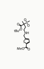 COC(=O)c1ccc(CNCCC(C)(C(=O)OC(C)(C)C)S(C)(=O)=O)s1